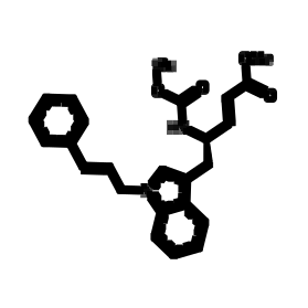 COC(=O)/C=C/[C@@H](Cc1cn(C/C=C/c2ccccc2)c2ccccc12)NC(=O)OC(C)(C)C